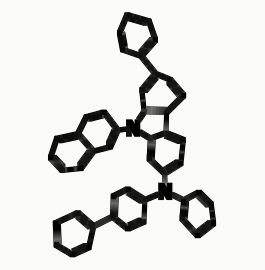 c1ccc(-c2ccc(N(c3ccccc3)c3ccc4c5ccc(-c6ccccc6)cc5n(-c5ccc6ccccc6c5)c4c3)cc2)cc1